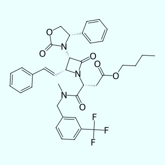 CCCCOC(=O)C[C@H](C(=O)N(C)Cc1cccc(C(F)(F)F)c1)N1C(=O)[C@@H](N2C(=O)OC[C@@H]2c2ccccc2)[C@H]1/C=C/c1ccccc1